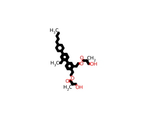 C=C(CO)C(=O)OCCc1ccc(-c2ccc(C3CCC(CCCCC)CC3)cc2CC)cc1CCOC(=O)C(=C)CO